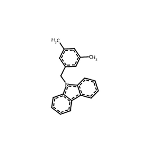 Cc1cc(C)cc(Cn2c3ccccc3c3ccccc32)c1